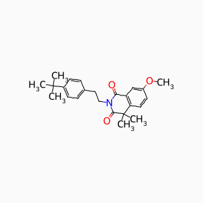 COc1ccc2c(c1)C(=O)N(CCc1ccc(C(C)(C)C)cc1)C(=O)C2(C)C